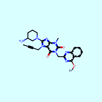 CC#CCn1c(N2CCCC(N)C2)nc2c1c(=O)n(Cc1nc(OC(C)C)c3ccccc3n1)c(=O)n2C